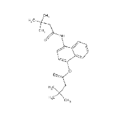 CC(C)(C)CC(=O)Nc1ccc(OC(=O)CC(C)(C)C)c2ccccc12